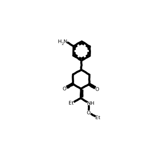 CCONC(CC)=C1C(=O)CC(c2cccc(N)c2)CC1=O